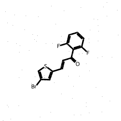 O=C(/C=C/c1cc(Br)cs1)c1c(F)cccc1F